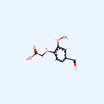 COc1cc(C=O)ccc1OCC(=O)O